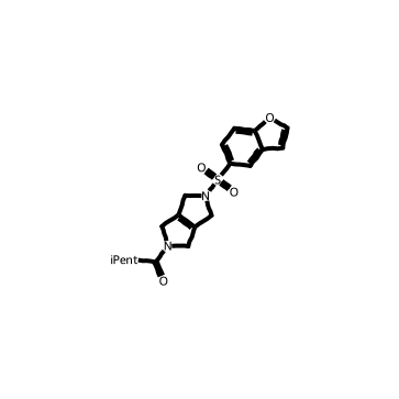 CCCC(C)C(=O)N1CC2=C(C1)CN(S(=O)(=O)c1ccc3occc3c1)C2